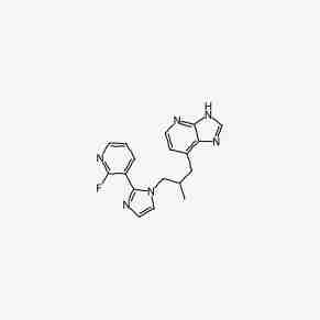 CC(Cc1ccnc2[nH]cnc12)Cn1ccnc1-c1cccnc1F